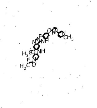 C=C(F)C(=O)N1CCC(Nc2cc3c(Nc4ccc(Oc5ccn(-c6ccc(C)nc6)n5)cc4F)ncnc3cc2OC)CC1